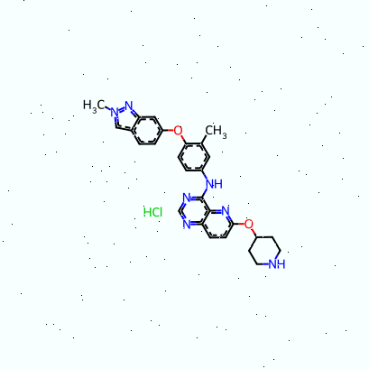 Cc1cc(Nc2ncnc3ccc(OC4CCNCC4)nc23)ccc1Oc1ccc2cn(C)nc2c1.Cl